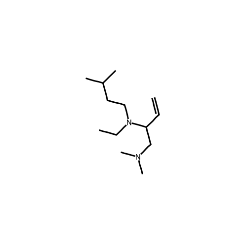 C=CC(CN(C)C)N(CC)CCC(C)C